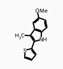 COc1ccc2[nH]c(-c3cccs3)c(C)c2c1